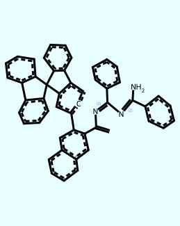 C=C(/N=C(\N=C(/N)c1ccccc1)c1ccccc1)c1cc2ccccc2cc1-c1ccc2c(c1)C1(c3ccccc3-c3ccccc31)c1ccccc1-2